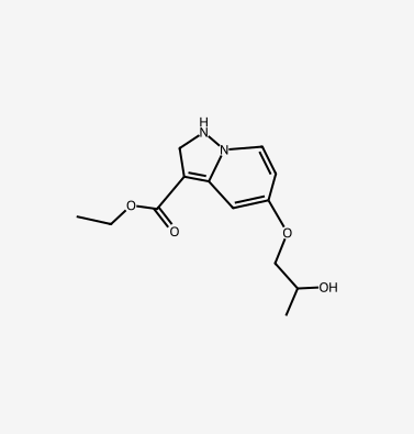 CCOC(=O)C1=C2C=C(OCC(C)O)C=CN2NC1